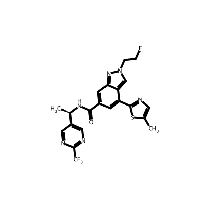 Cc1cnc(-c2cc(C(=O)N[C@H](C)c3cnc(C(F)(F)F)nc3)cc3nn(CCF)cc23)s1